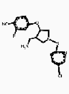 N#Cc1ccc(O[C@H]2CN(Sc3ccc(Cl)cn3)CC2CN)cc1F